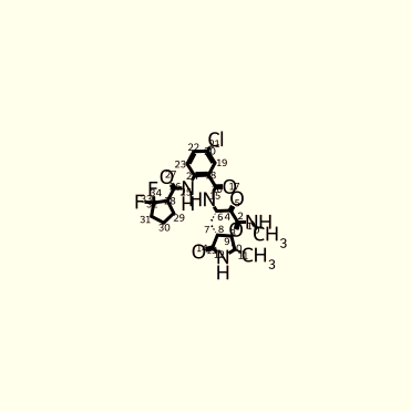 CNC(=O)C(=O)[C@H](C[C@@H]1C[C@@H](C)NC1=O)NC(=O)c1cc(Cl)ccc1NC(=O)C1CCCC1(F)F